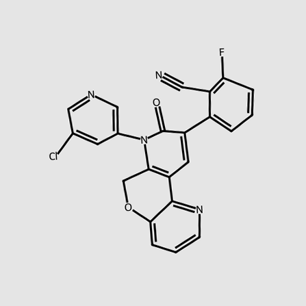 N#Cc1c(F)cccc1-c1cc2c(n(-c3cncc(Cl)c3)c1=O)COc1cccnc1-2